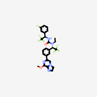 CCN(C(=O)NC(c1cccc(F)c1)C(F)(F)F)[C@@H](c1cccc(-c2cn3ccnc3c(OC)n2)c1)C(F)(F)F